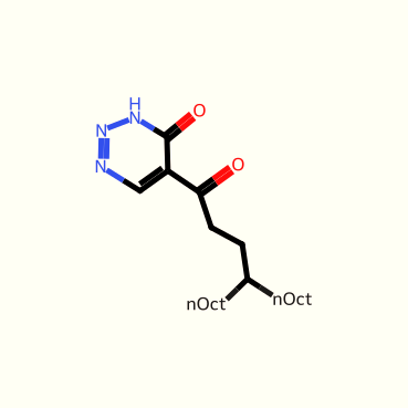 CCCCCCCCC(CCCCCCCC)CCC(=O)c1cnn[nH]c1=O